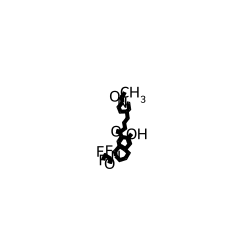 CC(=O)N1CCC(CCCC(=O)c2cc3c(cc2O)CCCN(C(=O)C(F)(F)F)C3)CC1